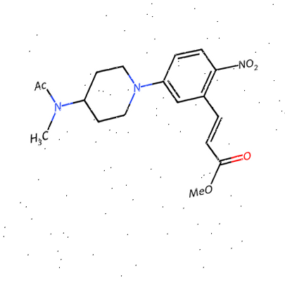 COC(=O)C=Cc1cc(N2CCC(N(C)C(C)=O)CC2)ccc1[N+](=O)[O-]